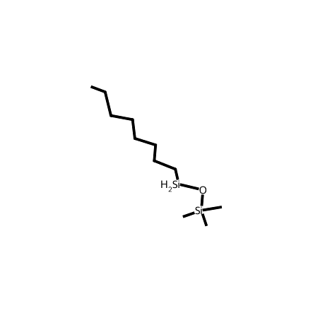 CCCCCCCC[SiH2]O[Si](C)(C)C